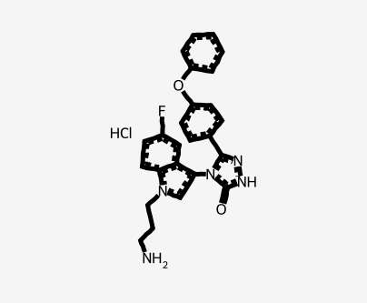 Cl.NCCCn1cc(-n2c(-c3ccc(Oc4ccccc4)cc3)n[nH]c2=O)c2cc(F)ccc21